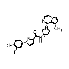 Cc1ccn2ccnc(N3CC[C@H](NC(=O)c4ccn(-c5ccc(Cl)c(F)c5)n4)C3)c12